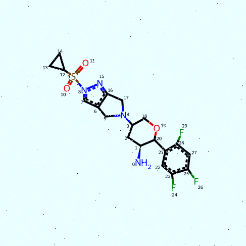 N[C@H]1CC(N2Cc3cn(S(=O)(=O)C4CC4)nc3C2)COC1c1cc(F)c(F)cc1F